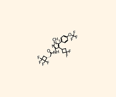 Cn1nc(NC(=O)C[C@H]2CC(F)(F)C2(F)F)c(C2CC(F)(F)C2)c1-c1ccc(OC(F)(F)F)cc1